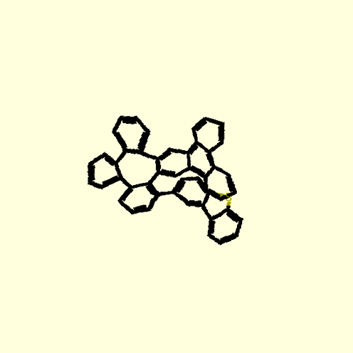 c1ccc2c(c1)-c1ccccc1-c1cccc(-c3ccc4sc5ccccc5c4c3)c1-c1cc3c4ccccc4c4ccccc4c3cc1-2